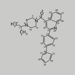 CC(C)N1CCN(C(=O)c2cc(-c3ccc(-c4ccccc4)cc3)nc3ccccc23)CC1